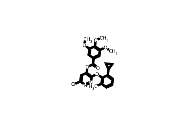 COc1cc(C(=O)Oc2cc(Cl)nnc2Oc2c(C)cccc2C2CC2)cc(OC)c1OC